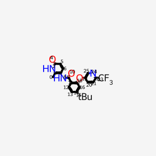 Cc1[nH]c(=O)ccc1NC(=O)c1ccc(C(C)(C)C)cc1Oc1ccc(C(F)(F)F)nc1